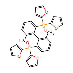 Cc1cccc(P(=O)(c2ccco2)c2ccco2)c1-c1c(C)cccc1P(=O)(c1ccco1)c1ccco1